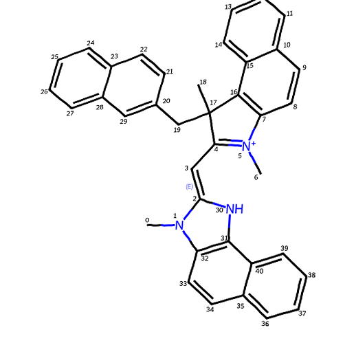 CN1/C(=C/C2=[N+](C)c3ccc4ccccc4c3C2(C)Cc2ccc3ccccc3c2)Nc2c1ccc1ccccc21